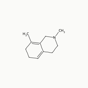 CC1=C2CN(C)CCC2=CCC1